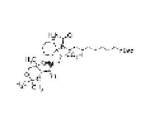 CCCCCCCCCCCCCCCCCCN(C(N)=O)C1(C(CNC(=O)C2OC(C)(C)OCC2(C)C)C(=O)O)CCCCC1